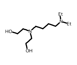 CCN(CC)CCCCN(CCO)CCO